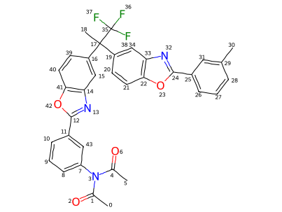 CC(=O)N(C(C)=O)c1cccc(-c2nc3cc(C(C)(c4ccc5oc(-c6cccc(C)c6)nc5c4)C(F)(F)F)ccc3o2)c1